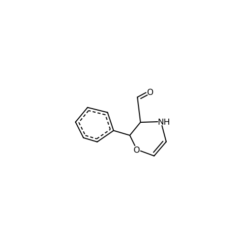 O=CC1NC=COC1c1ccccc1